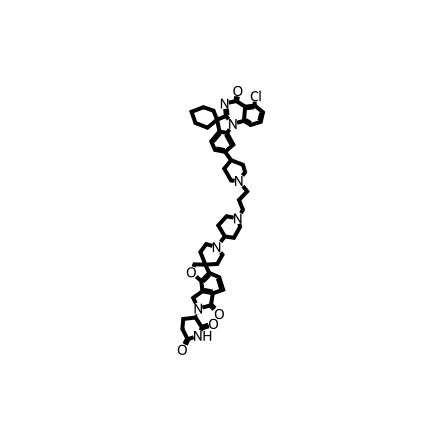 O=C1CC[C@H](N2Cc3c(ccc4c3OCC43CCN(C4CCN(CCCN5CCC(c6ccc7c(c6)-n6c(nc(=O)c8c(Cl)cccc86)C76CCCCC6)CC5)CC4)CC3)C2=O)C(=O)N1